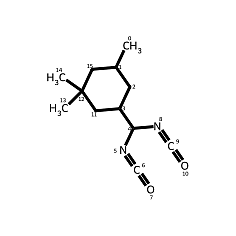 CC1CC(C(N=C=O)N=C=O)CC(C)(C)C1